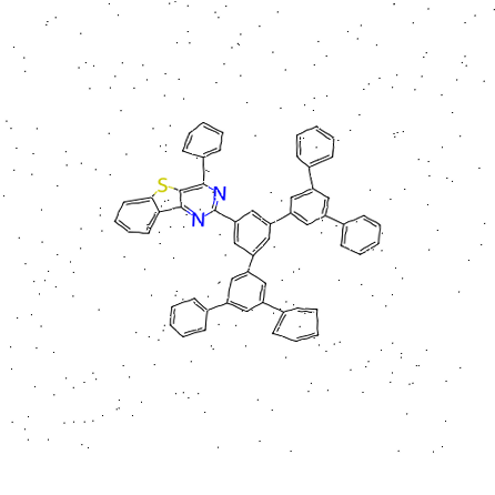 c1ccc(-c2cc(-c3ccccc3)cc(-c3cc(-c4cc(-c5ccccc5)cc(-c5ccccc5)c4)cc(-c4nc(-c5ccccc5)c5sc6ccccc6c5n4)c3)c2)cc1